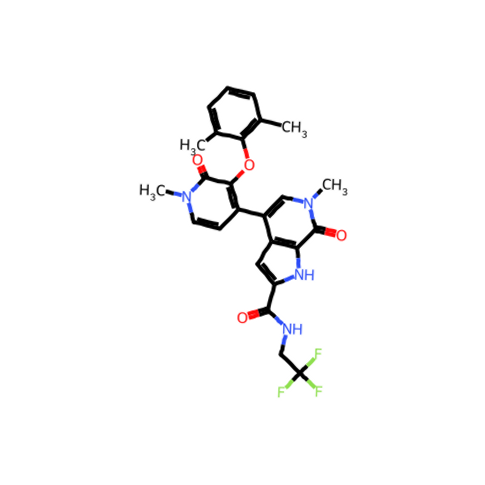 Cc1cccc(C)c1Oc1c(-c2cn(C)c(=O)c3[nH]c(C(=O)NCC(F)(F)F)cc23)ccn(C)c1=O